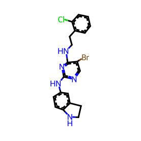 Clc1ccccc1CCNc1nc(Nc2ccc3c(c2)CCN3)ncc1Br